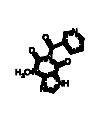 Cn1c(=O)n(C(=O)c2cccnc2)c(=O)c2[nH]cnc21